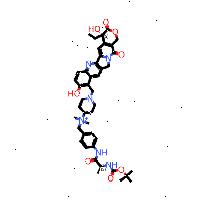 CC[C@@]1(O)C(=O)OCc2c1cc1n(c2=O)Cc2cc3c(CN4CCC([N+](C)(C)Cc5ccc(NC(=O)[C@H](C)NC(=O)OC(C)(C)C)cc5)CC4)c(O)ccc3nc2-1